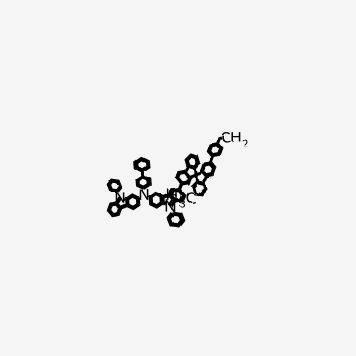 C=Cc1ccc(-c2ccc3c(c2)C2(C4=C3C=CC(C)C4)c3ccccc3-c3ccc(-c4ccc5c(c4)c4cc(N(c6ccc(-c7ccccc7)cc6)c6ccc7c8ccccc8n(-c8ccccc8)c7c6)ccc4n5-c4ccccc4)cc32)cc1